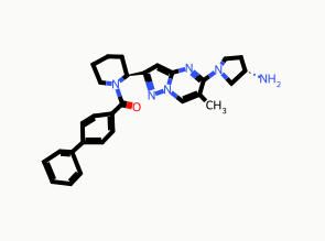 Cc1cn2nc([C@@H]3CCCCN3C(=O)c3ccc(-c4ccccc4)cc3)cc2nc1N1CC[C@H](N)C1